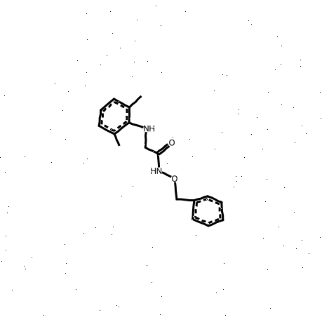 Cc1cccc(C)c1NCC(=O)NOCc1ccccc1